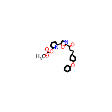 COC(=O)Oc1cccc(-c2cnc(C(=O)CCc3ccc(Oc4ccccc4)cc3)o2)n1